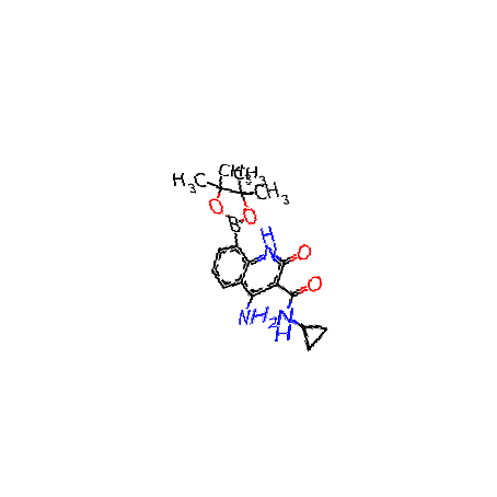 CC1(C)OB(c2cccc3c(N)c(C(=O)NC4CC4)c(=O)[nH]c23)OC1(C)C